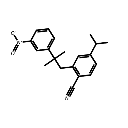 CC(C)c1ccc(C#N)c(CC(C)(C)c2cccc([N+](=O)[O-])c2)c1